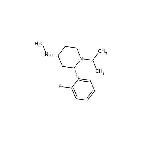 CN[C@@H]1CCN(C(C)C)[C@H](c2ccccc2F)C1